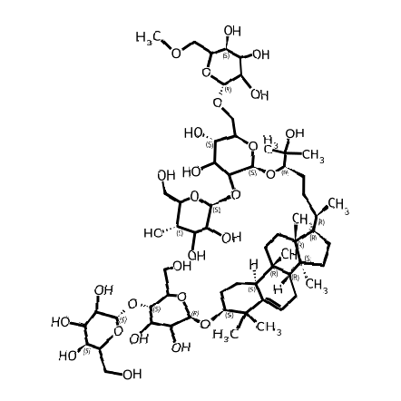 COCC1O[C@@H](OCC2O[C@@H](O[C@H](CC[C@@H](C)[C@H]3CC[C@@]4(C)[C@@H]5CC=C6[C@@H](CC[C@H](O[C@@H]7OC(CO)[C@@H](O[C@@H]8OC(CO)[C@@H](O)C(O)C8O)C(O)C7O)C6(C)C)[C@]5(C)CC[C@]34C)C(C)(C)O)C(O[C@@H]3OC(CO)[C@@H](O)C(O)C3O)C(O)[C@@H]2O)C(O)C(O)[C@@H]1O